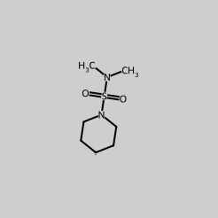 CN(C)S(=O)(=O)N1CC[CH]CC1